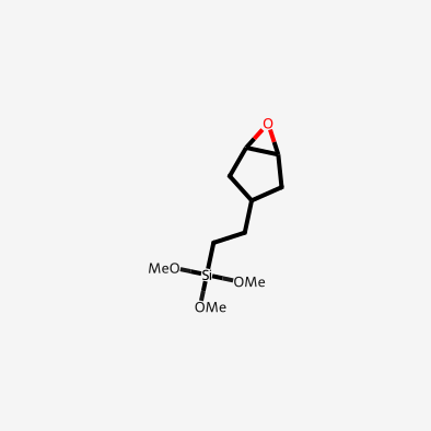 CO[Si](CCC1CC2OC2C1)(OC)OC